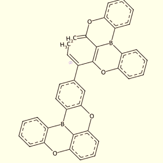 C=C1Oc2ccccc2B2C1=C(/C(=C\C)c1ccc3c(c1)Oc1cccc4c1B3c1ccccc1O4)Oc1ccccc12